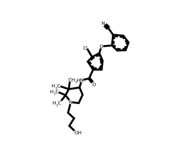 CC1(C)C(NC(=O)c2ccc(Oc3ccccc3C#N)c(Cl)c2)CCN(CCCO)C1(C)C